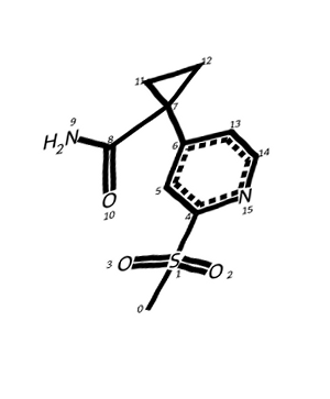 CS(=O)(=O)c1cc(C2(C(N)=O)CC2)ccn1